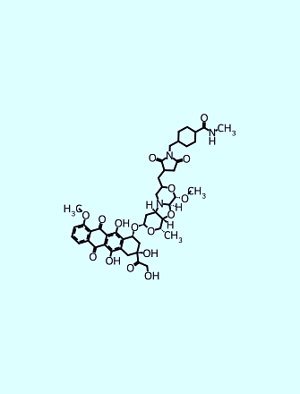 CNC(=O)C1CCC(CN2C(=O)CC(CC3CN4[C@H](O[C@@H]5[C@H](C)O[C@@H](O[C@H]6C[C@](O)(C(=O)CO)Cc7c(O)c8c(c(O)c76)C(=O)c6c(OC)cccc6C8=O)C[C@@H]54)[C@@H](OC)O3)C2=O)CC1